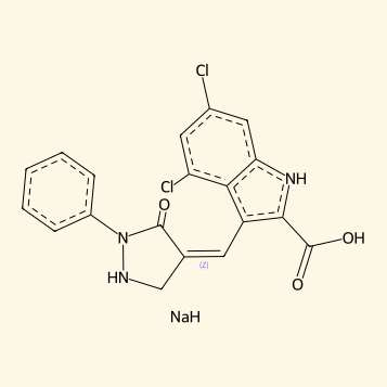 O=C(O)c1[nH]c2cc(Cl)cc(Cl)c2c1/C=C1/CNN(c2ccccc2)C1=O.[NaH]